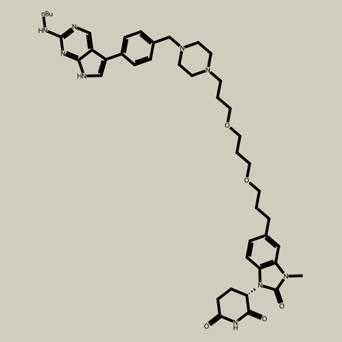 CCCCNc1ncc2c(-c3ccc(CN4CCN(CCCOCCCOCCCc5ccc6c(c5)n(C)c(=O)n6[C@H]5CCC(=O)NC5=O)CC4)cc3)c[nH]c2n1